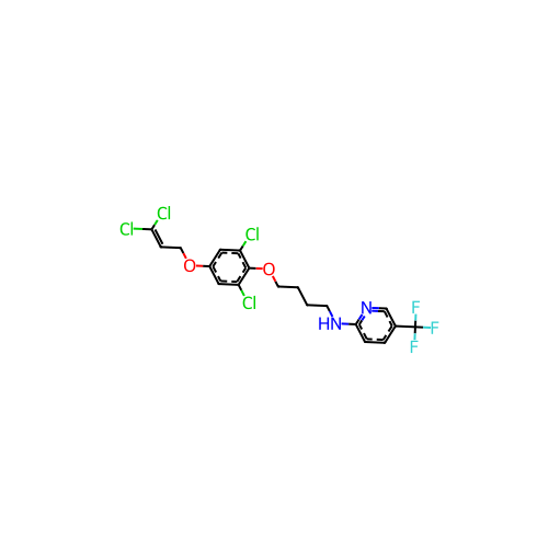 FC(F)(F)c1ccc(NCCCCOc2c(Cl)cc(OCC=C(Cl)Cl)cc2Cl)nc1